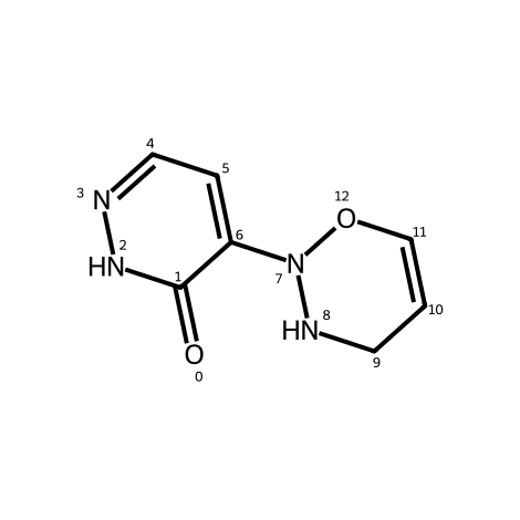 O=c1[nH]nccc1N1NCC=CO1